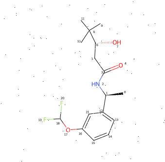 C[C@H](NC(=O)C[C@@H](O)C(C)(C)C)c1cccc(OC(F)F)c1